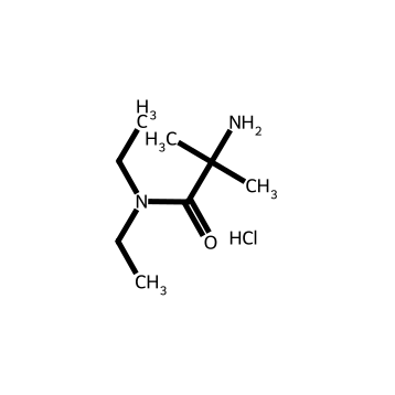 CCN(CC)C(=O)C(C)(C)N.Cl